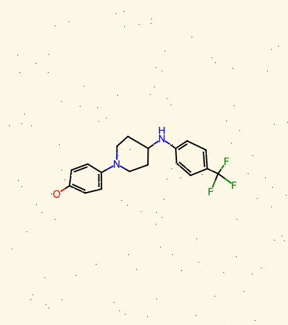 [O]c1ccc(N2CCC(Nc3ccc(C(F)(F)F)cc3)CC2)cc1